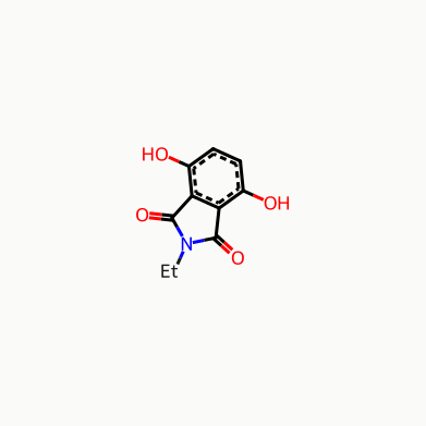 CCN1C(=O)c2c(O)ccc(O)c2C1=O